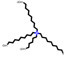 CCCCCCCCCCCCCCCCCCC[N+](CCCCCCCCCCCCCCC)(CCCCCCCCCCCCCCCCCCC)CCCCCCCCCCCCCCCCCCC